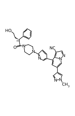 Cn1cc(-c2cc(-c3ccc(N4CCN(C(=O)[C@@H](CCO)c5ccccc5)CC4)nc3)c3c(C#N)cnn3c2)cn1